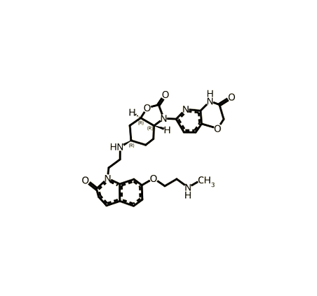 CNCCOc1ccc2ccc(=O)n(CCN[C@@H]3CC[C@@H]4[C@@H](C3)OC(=O)N4c3ccc4c(n3)NC(=O)CO4)c2c1